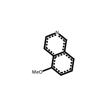 COc1cccc2[c]nccc12